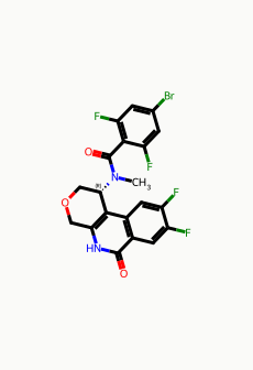 CN(C(=O)c1c(F)cc(Br)cc1F)[C@H]1COCc2[nH]c(=O)c3cc(F)c(F)cc3c21